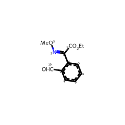 CCOC(=O)/C(=N\OC)c1ccccc1C=O